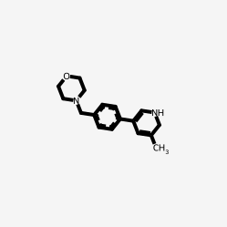 CC1=CC(c2ccc(CN3CCOCC3)cc2)=CNC1